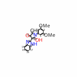 COc1cc(OC)cc(N2C(O)=C(c3nc4ccccc4[nH]3)C(=O)C2C)c1